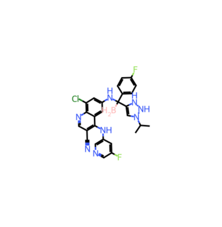 BC(Nc1cc(Cl)c2ncc(C#N)c(Nc3cncc(F)c3)c2c1)(C1=CN(C(C)C)NN1)c1ccc(F)cc1